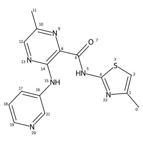 Cc1csc(NC(=O)c2nc(C)cnc2Nc2cccnc2)n1